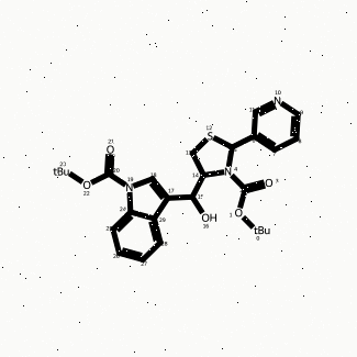 CC(C)(C)OC(=O)N1C(c2cccnc2)SCC1C(O)c1cn(C(=O)OC(C)(C)C)c2ccccc12